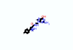 Cc1ccc(-c2cc(C(=O)NCCn3cnc4c(O)nc(N)nc43)[nH]n2)cc1